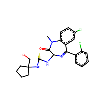 CN1C(=O)C(NC(=S)NC2(CO)CCCC2)N=C(c2ccccc2Cl)c2cc(Cl)ccc21